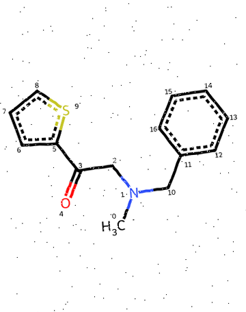 CN(CC(=O)c1cccs1)Cc1ccccc1